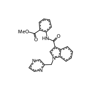 COC(=O)c1ccccc1NC(=O)c1cn(Cc2cnccn2)c2ccccc12